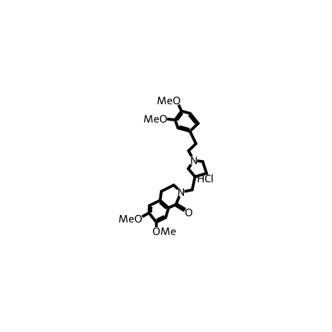 COc1ccc(CCN2CCC(CN3CCc4cc(OC)c(OC)cc4C3=O)C2)cc1OC.Cl